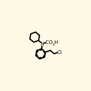 O=C(O)N(c1ccccc1CCCl)C1CCCCC1